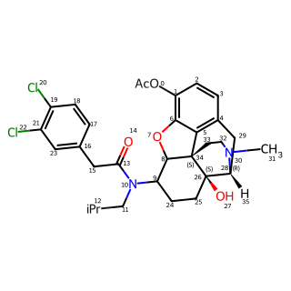 CC(=O)Oc1ccc2c3c1OC1C(N(CC(C)C)C(=O)Cc4ccc(Cl)c(Cl)c4)CC[C@@]4(O)[C@@H](C2)N(C)CC[C@]314